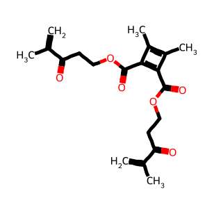 C=C(C)C(=O)CCOC(=O)C1=C(C(=O)OCCC(=O)C(=C)C)C(C)=C1C